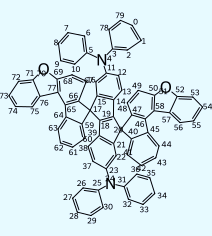 c1ccc(N(c2ccccc2)c2ccc3c(c2)C2(C4=C3C3(c5cc(N(c6ccccc6)c6ccccc6)ccc54)c4ccccc4-c4c3ccc3oc5ccccc5c43)c3ccccc3-c3c2ccc2oc4ccccc4c32)cc1